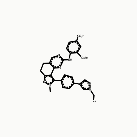 COc1cc(C(=O)O)ccc1Nc1ncc2c(n1)-c1c(nn(C)c1-c1ccc(-c3cnn(CC(C)C)c3)cc1)CC2